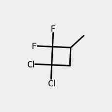 CC1CC(Cl)(Cl)C1(F)F